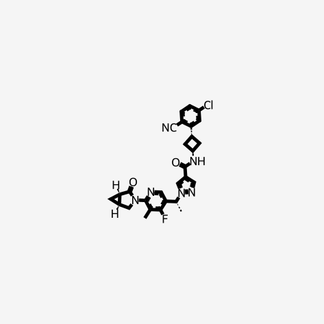 Cc1c(N2C[C@H]3C[C@H]3C2=O)ncc([C@@H](C)n2cc(C(=O)N[C@H]3C[C@@H](c4cc(Cl)ccc4C#N)C3)cn2)c1F